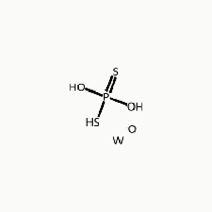 OP(O)(=S)S.[O].[W]